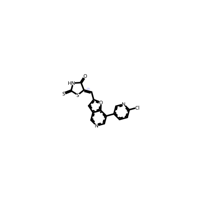 O=C1NC(=S)S/C1=C\c1cc2cncc(-c3ccc(Cl)nc3)c2o1